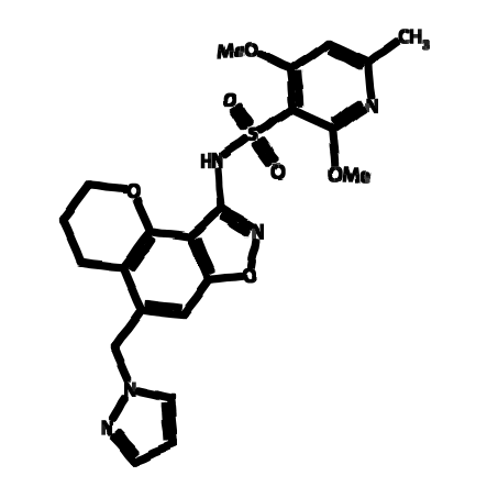 COc1cc(C)nc(OC)c1S(=O)(=O)Nc1noc2cc(Cn3cccn3)c3c(c12)OCCC3